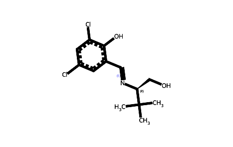 CC(C)(C)[C@H](CO)/N=C/c1cc(Cl)cc(Cl)c1O